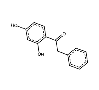 O=C(Cc1ccccc1)c1ccc(O)cc1O